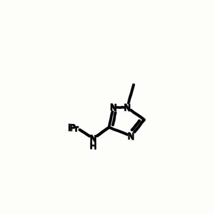 CC(C)Nc1ncn(C)n1